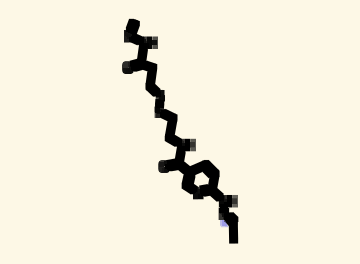 C=NNC(=O)CCSSCCNC(=O)c1ccc(N/N=C/C)nc1